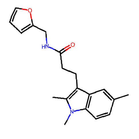 Cc1ccc2c(c1)c(CCC(=O)NCc1ccco1)c(C)n2C